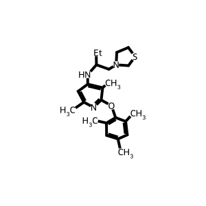 CCC(CN1CCSC1)Nc1cc(C)nc(Oc2c(C)cc(C)cc2C)c1C